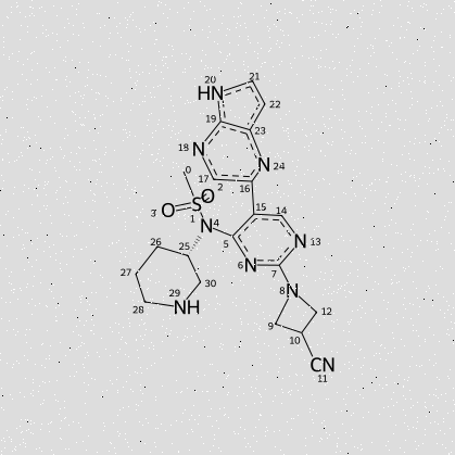 CS(=O)(=O)N(c1nc(N2CC(C#N)C2)ncc1-c1cnc2[nH]ccc2n1)[C@H]1CCCNC1